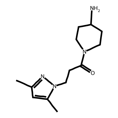 Cc1cc(C)n(CCC(=O)N2CCC(N)CC2)n1